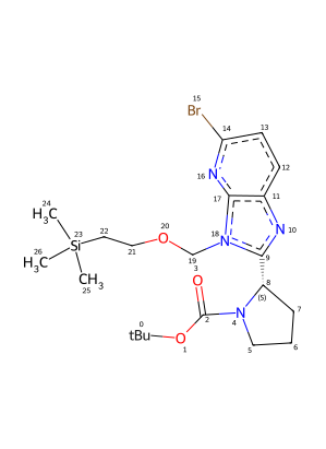 CC(C)(C)OC(=O)N1CCC[C@H]1c1nc2ccc(Br)nc2n1COCC[Si](C)(C)C